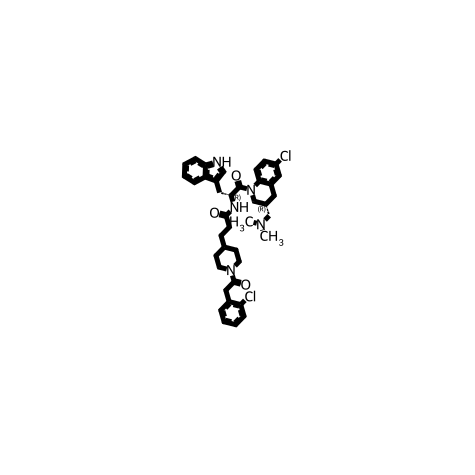 CN(C)C[C@H]1Cc2cc(Cl)ccc2N(C(=O)[C@@H](Cc2c[nH]c3ccccc23)NC(=O)CCC2CCN(C(=O)Cc3ccccc3Cl)CC2)C1